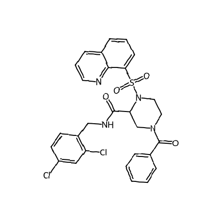 O=C(NCc1ccc(Cl)cc1Cl)C1CN(C(=O)c2ccccc2)CCN1S(=O)(=O)c1cccc2cccnc12